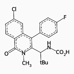 Cn1c(C(NC(=O)O)C(C)(C)C)c(-c2ccc(F)cc2)c2cc(Cl)ccc2c1=O